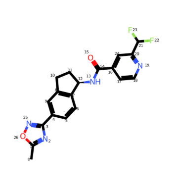 Cc1nc(-c2ccc3c(c2)CC[C@H]3NC(=O)c2ccnc(C(F)F)c2)no1